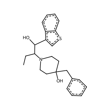 CCC(C(O)c1csc2ccccc12)N1CCC(O)(Cc2ccccc2)CC1